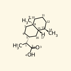 CC(C(=O)O)[C@@H]1CC[C@@]2(C)CCC[C@@H](C)[C@@H]2C1